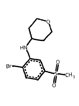 CS(=O)(=O)c1ccc(Br)c(NC2CCOCC2)c1